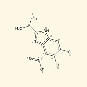 CC(C)c1nc2c([N+](=O)[O-])c(Cl)c(Cl)cc2[nH]1